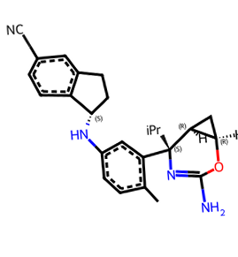 Cc1ccc(N[C@H]2CCc3cc(C#N)ccc32)cc1[C@@]1(C(C)C)N=C(N)O[C@@H]2C[C@@H]21